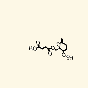 C=C1CCC(OS)[C@@H](COC(=O)CCC(=O)O)O1